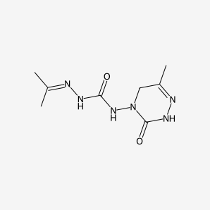 CC(C)=NNC(=O)NN1CC(C)=NNC1=O